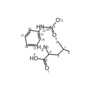 CC(C)CC(N)C(=O)O.O=[N+]([O-])Nc1ccccc1